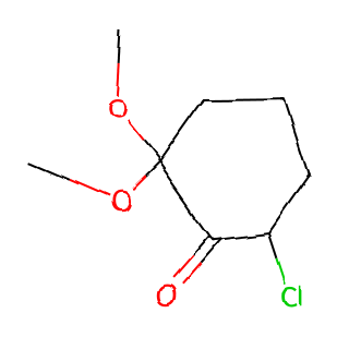 COC1(OC)CCCC(Cl)C1=O